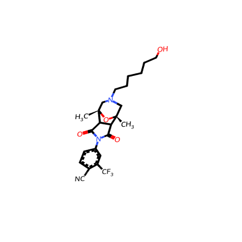 C[C@]12CN(CCCCCCO)C[C@](C)(O1)C1C(=O)N(c3ccc(C#N)c(C(F)(F)F)c3)C(=O)C12